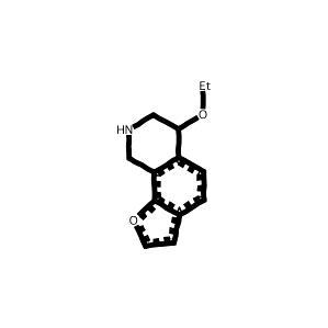 CCOC1CNCc2c1ccc1ccoc21